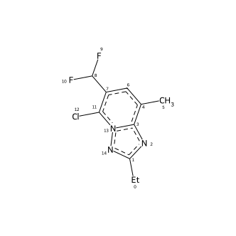 CCc1nc2c(C)cc(C(F)F)c(Cl)n2n1